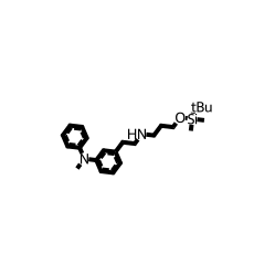 CN(c1ccccc1)c1cccc(CCNCCCO[Si](C)(C)C(C)(C)C)c1